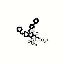 O=C(O)CNC(=O)C1=C(OC(=O)C(F)(F)F)CC2(CCN(Cc3ccccc3)CC2)N(Cc2ccc(-c3ccccc3)cc2)C1=O